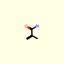 C=C(C)C([N])=O